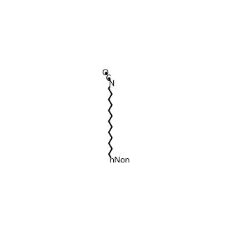 CCCCCCCCCCCCCCCCCCCCCCN=C=O